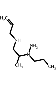 C=CCNCC(C)N(N)CCC